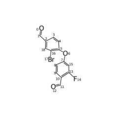 O=Cc1ccc(Oc2ccc(C=O)c(F)c2)c(Br)c1